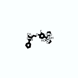 Cc1sc(-c2ccccc2)nc1CCOc1ccc(C([P]2(O)OCCO2)[P]2(O)OCCO2)cc1F